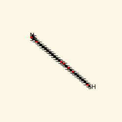 CS(C)(#N)S(=S)(=S)SSSSSSSSSSSSSSSSSSSSSSSSSSSSSSSSSSSSSSSSSSSSSSSSS